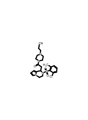 Cc1cccc(Cl)c1S(=O)(=O)N1CCn2cccc2C1CC(=O)N1CCN(CCC#N)CC1